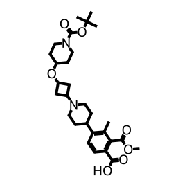 COC(=O)c1c(C(=O)O)ccc(C2CCN(C3CC(OC4CCN(C(=O)OC(C)(C)C)CC4)C3)CC2)c1C